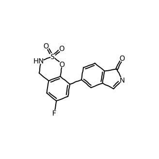 O=C1N=Cc2cc(-c3cc(F)cc4c3OS(=O)(=O)NC4)ccc21